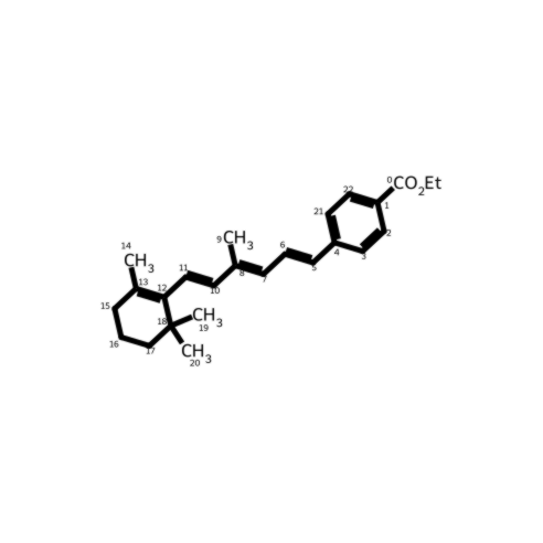 CCOC(=O)c1ccc(/C=C/C=C(C)/C=C/C2=C(C)CCCC2(C)C)cc1